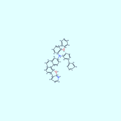 c1ccc(-c2cccc(N(c3ccc4c(ccc5ccc6c7cccnc7oc6c54)c3)c3cccc4c3oc3ccccc34)c2)cc1